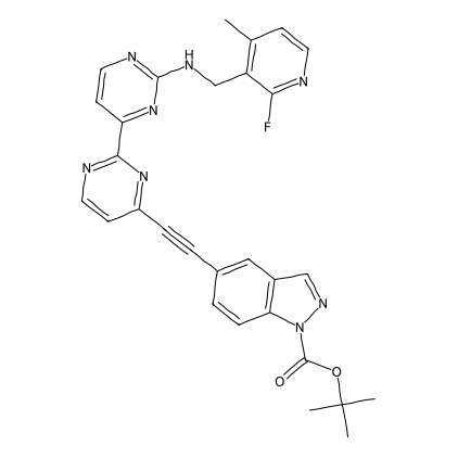 Cc1ccnc(F)c1CNc1nccc(-c2nccc(C#Cc3ccc4c(cnn4C(=O)OC(C)(C)C)c3)n2)n1